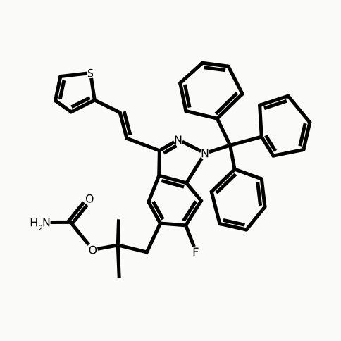 CC(C)(Cc1cc2c(/C=C/c3cccs3)nn(C(c3ccccc3)(c3ccccc3)c3ccccc3)c2cc1F)OC(N)=O